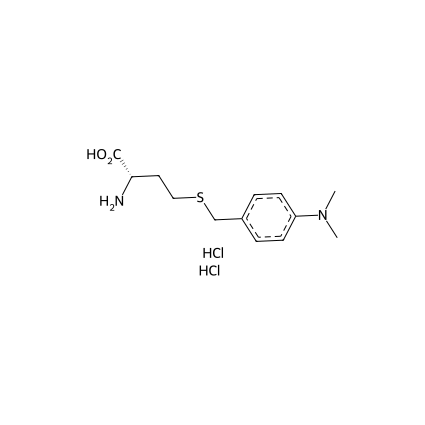 CN(C)c1ccc(CSCC[C@H](N)C(=O)O)cc1.Cl.Cl